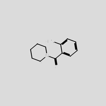 Nc1ccccc1C(=O)N1CCCCC1